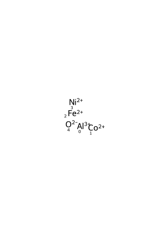 [Al+3].[Co+2].[Fe+2].[Ni+2].[O-2]